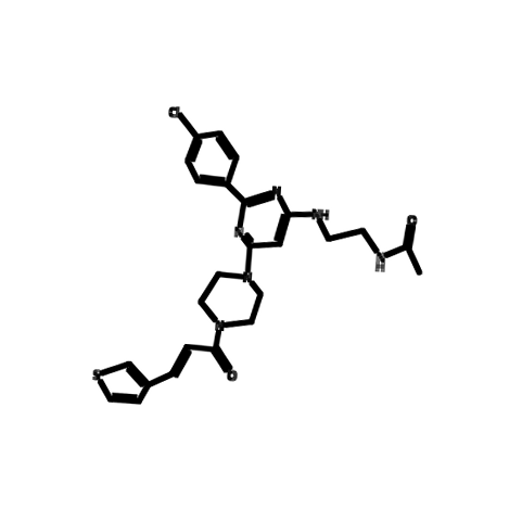 CC(=O)NCCNc1cc(N2CCN(C(=O)C=Cc3ccsc3)CC2)nc(-c2ccc(Cl)cc2)n1